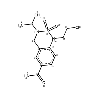 CC(C)N1Cc2cc(C(N)=O)ccc2N(CCCl)S1(=O)=O